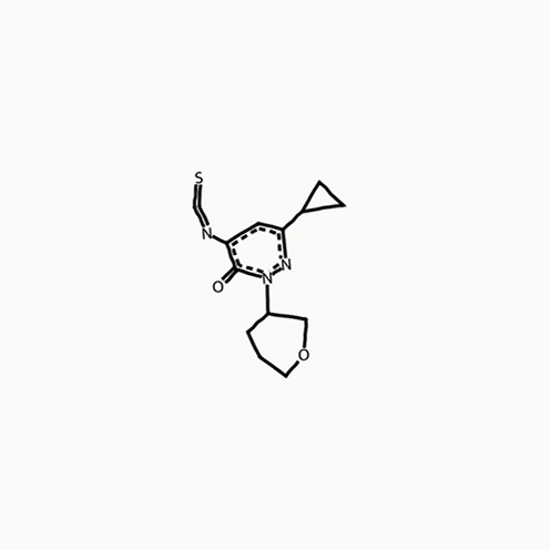 O=c1c(N=C=S)cc(C2CC2)nn1C1CCCOC1